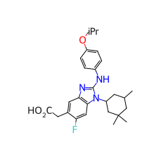 CC1CC(n2c(Nc3ccc(OC(C)C)cc3)nc3cc(CC(=O)O)c(F)cc32)CC(C)(C)C1